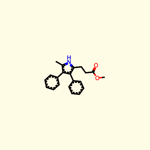 COC(=O)CCc1[nH]c(C)c(-c2ccccc2)c1-c1ccccc1